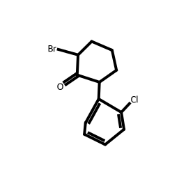 O=C1C(Br)CCCC1c1ccccc1Cl